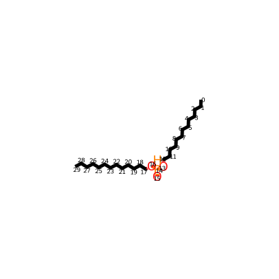 CCCCCCCCCCCCCO[PH](=O)OCCCCCCCCCCCCC